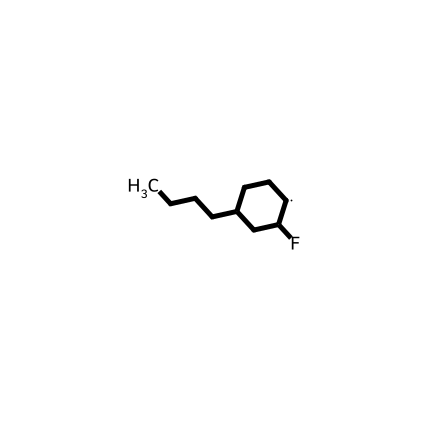 CCCCC1CC[CH]C(F)C1